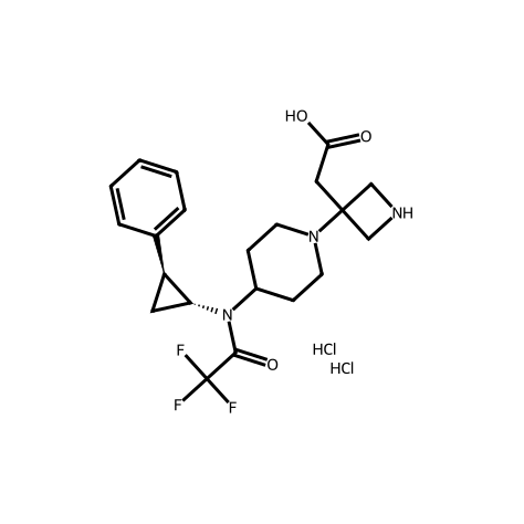 Cl.Cl.O=C(O)CC1(N2CCC(N(C(=O)C(F)(F)F)[C@@H]3C[C@H]3c3ccccc3)CC2)CNC1